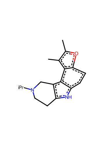 Cc1oc2ccc3[nH]c4c(c3c2c1C)CN(C(C)C)CC4